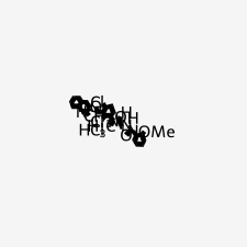 COc1ccccc1NC(=O)NCC(=O)N(C)c1ccc(Cl)c(COc2cc3ccccc3nc2C)c1Cl.Cl